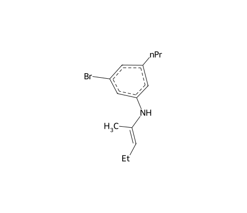 CC/C=C(\C)Nc1cc(Br)cc(CCC)c1